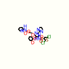 COc1ccccc1Oc1c(NS(=O)(=O)c2cc(Cl)sc2Cl)nc(-c2ncccn2)nc1OCCOC(=O)Nc1ccccn1